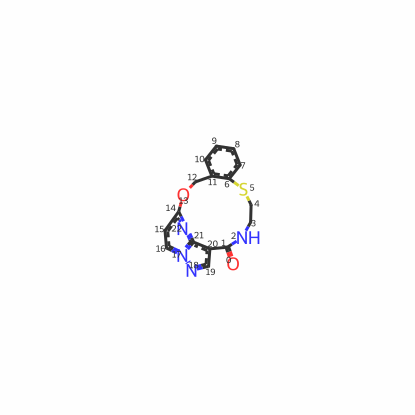 O=C1NCCSc2ccccc2COc2ccn3ncc1c3n2